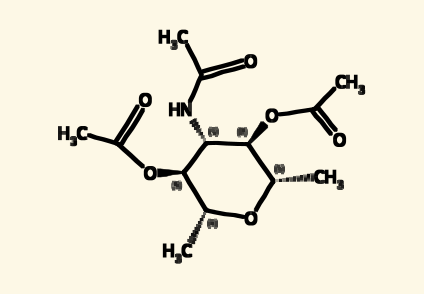 CC(=O)N[C@@H]1[C@@H](OC(C)=O)[C@H](C)O[C@H](C)[C@H]1OC(C)=O